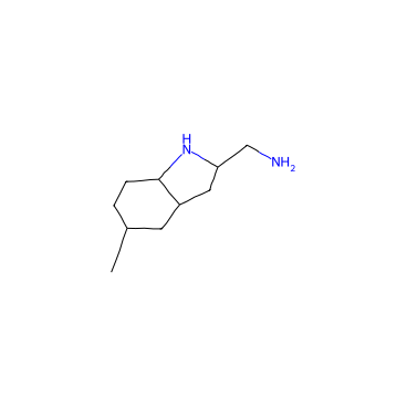 CC1CCC2NC(CN)CC2C1